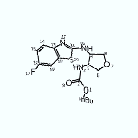 CCCCOC(=O)NC1COCC1Nc1nc2ccc(F)cc2s1